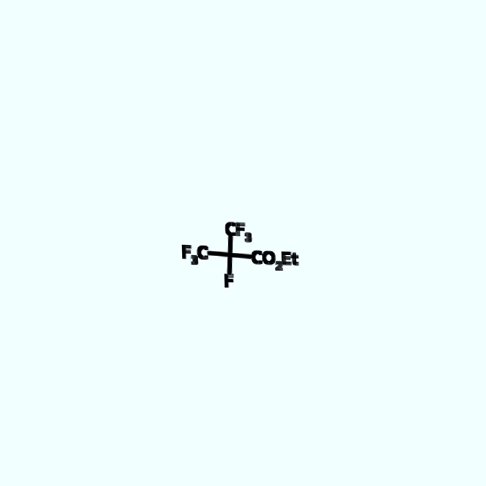 CCOC(=O)C(F)(C(F)(F)F)C(F)(F)F